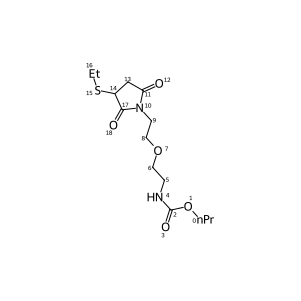 CCCOC(=O)NCCOCCN1C(=O)CC(SCC)C1=O